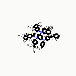 CC(C)(C)c1ccc(N2c3cc(N(c4ccccc4)c4ccc(C(C)(C)c5ccccc5)cc4)cc4c3B(c3cc5c(cc3N4c3ccc4c(c3)C(C)(C)CCC4(C)C)C(C)(C)CCC5(C)C)c3sc4cc5c(cc4c32)C(C)(C)CCC5(C)C)cc1